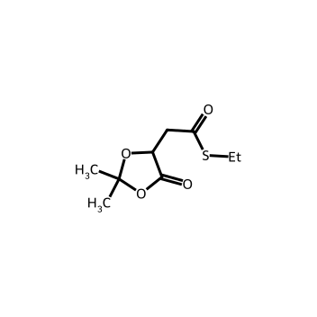 CCSC(=O)CC1OC(C)(C)OC1=O